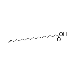 C=CCCCCCCCCCCCCCCCCC(=O)O